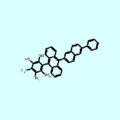 Bc1c(B)c(O)c(O)c(-c2c3ccccc3c(-c3ccc4cc(-c5ccccc5)ccc4c3)c3ccccc23)c1B